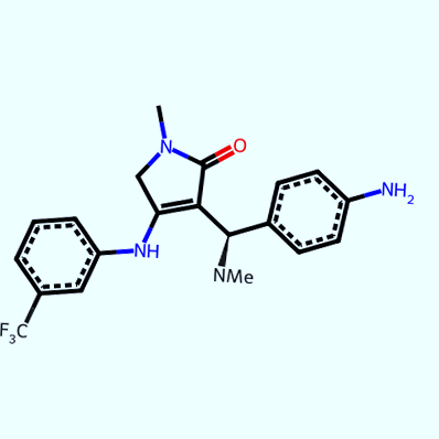 CN[C@@H](C1=C(Nc2cccc(C(F)(F)F)c2)CN(C)C1=O)c1ccc(N)cc1